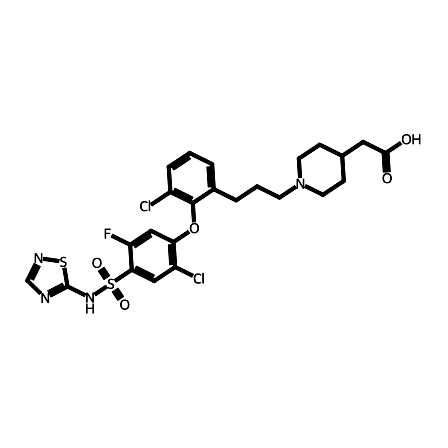 O=C(O)CC1CCN(CCCc2cccc(Cl)c2Oc2cc(F)c(S(=O)(=O)Nc3ncns3)cc2Cl)CC1